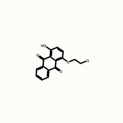 O=C1c2ccccc2C(=O)c2c(OCCCl)ccc(O)c21